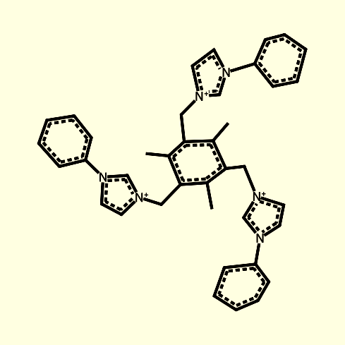 Cc1c(C[n+]2ccn(-c3ccccc3)c2)c(C)c(C[n+]2ccn(-c3ccccc3)c2)c(C)c1C[n+]1ccn(-c2ccccc2)c1